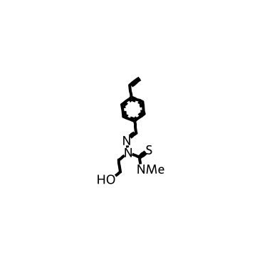 C=Cc1ccc(C=NN(CCO)C(=S)NC)cc1